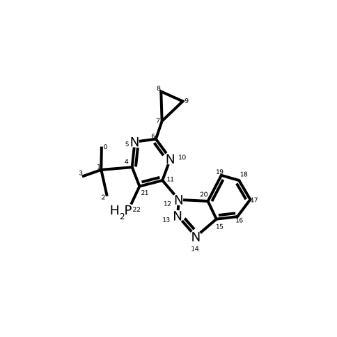 CC(C)(C)c1nc(C2CC2)nc(-n2nnc3ccccc32)c1P